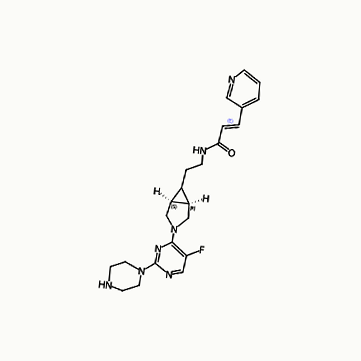 O=C(/C=C/c1cccnc1)NCCC1[C@H]2CN(c3nc(N4CCNCC4)ncc3F)C[C@@H]12